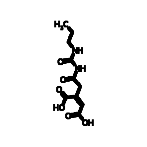 CCCNC(=O)NC(=O)CC(=CC(=O)O)C(=O)O